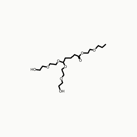 CCCOCCOC(=O)CCCC(OCCOCCO)OCCOCCO